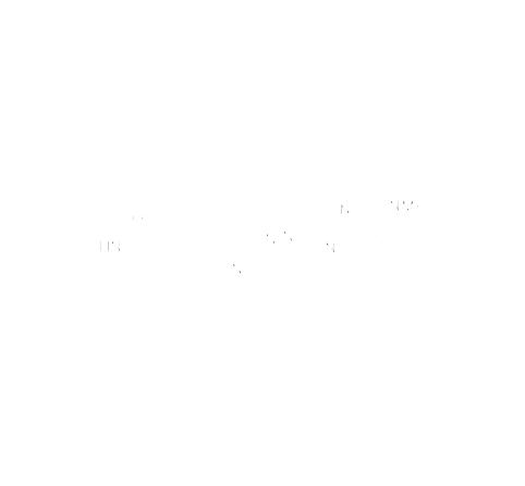 CNC(=O)Nc1cn2nc(Nc3cccc(C4=CNCO4)c3)ccc2n1